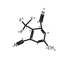 Cc1cc(C#N)c(C(F)(F)F)c(C#N)c1